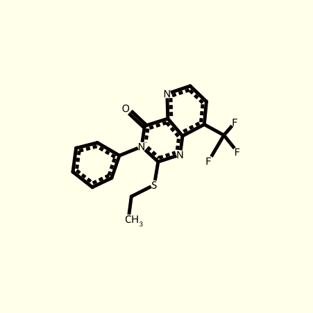 CCSc1nc2c(C(F)(F)F)ccnc2c(=O)n1-c1ccccc1